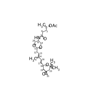 CC(=O)O[C@@H](C)CCC(=O)NC1COC(C/C=C(C)/C=C/[C@@H]2C[C@]3(CO3)CC(C)(C)O2)OC1